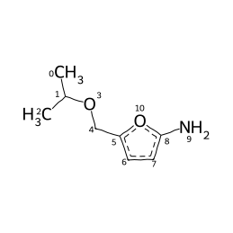 CC(C)OCc1ccc(N)o1